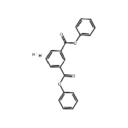 O=C(Oc1ccccc1)c1cccc(C(=O)Oc2ccccc2)c1.[H+].[H+]